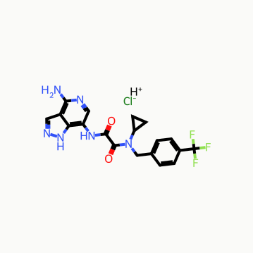 Nc1ncc(NC(=O)C(=O)N(Cc2ccc(C(F)(F)F)cc2)C2CC2)c2[nH]ncc12.[Cl-].[H+]